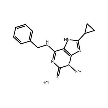 CCCn1c(=S)nc(NCc2ccccc2)c2[nH]c(C3CC3)nc21.Cl